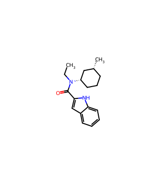 CCN(C(=O)c1cc2ccccc2[nH]1)[C@H]1CCC[C@@H](C)C1